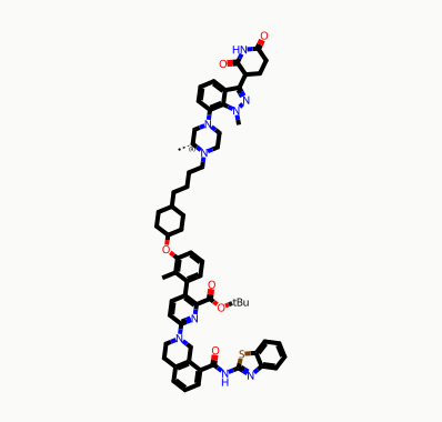 Cc1c(OC2CCC(CCCCN3CCN(c4cccc5c(C6CCC(=O)NC6=O)nn(C)c45)C[C@H]3C)CC2)cccc1-c1ccc(N2CCc3cccc(C(=O)Nc4nc5ccccc5s4)c3C2)nc1C(=O)OC(C)(C)C